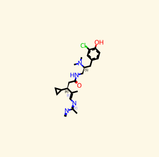 C=N/C(C)=N\C=C(/C)[C@H](CC(=O)NC[C@H](Cc1ccc(O)c(Cl)c1)N(C)C)C1CC1